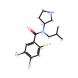 CC(C)CN(C(=O)c1cc(Cl)c(Cl)cc1F)C1CCNC1